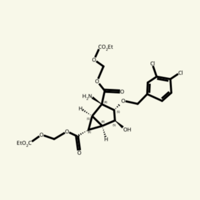 CCOC(=O)OCOC(=O)[C@H]1[C@@H]2[C@H](O)[C@@H](OCc3ccc(Cl)c(Cl)c3)[C@@](N)(C(=O)OCOC(=O)OCC)[C@H]12